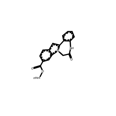 CCCCCCOC(=O)c1ccc2cc3n(c2c1)CC(=O)Nc1ccccc1-3